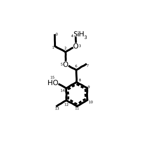 CCC(O[SiH3])OC(C)c1cccc(C)c1O